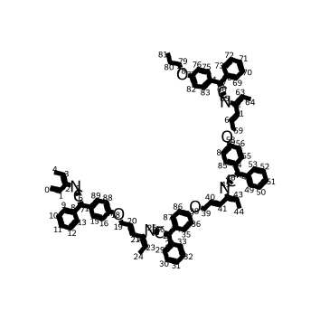 C=C/C(=C\C)N=C=C(c1ccccc1)c1ccc(OC/C=C/C(=C\C)N=C=C(c2ccccc2)c2ccc(OC/C=C/C(=C\C)N=C=C(c3ccccc3)c3ccc(OC/C=C/C(=C\C)N=C=C(c4ccccc4)c4ccc(OCCC)cc4)cc3)cc2)cc1